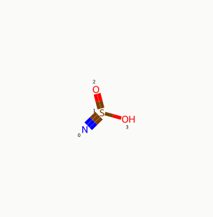 N#S(=O)O